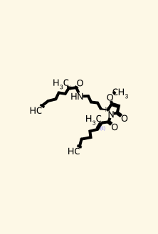 C#CCCC/C=C(\C)C(=O)N1C(=O)C=C(OC)[C@@H]1CCCCNC(=O)[C@H](C)CCCCC#C